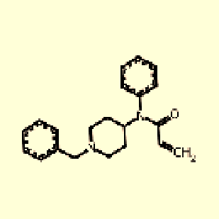 C=CC(=O)N(c1ccccc1)C1CCN(Cc2ccccc2)CC1